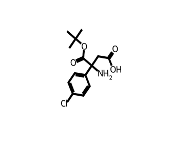 CC(C)(C)OC(=O)C(N)(CC(=O)O)c1ccc(Cl)cc1